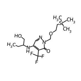 CCC(CO)Nc1cnn(COCC[Si](C)(C)C)c(=O)c1C(F)(F)F